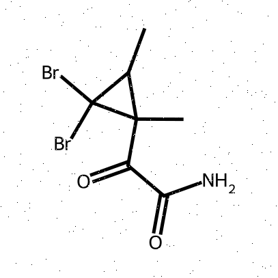 CC1C(Br)(Br)C1(C)C(=O)C(N)=O